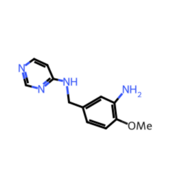 COc1ccc(CNc2ccncn2)cc1N